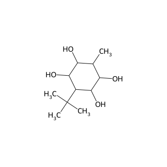 CC1C(O)C(O)C(C(C)(C)C)C(O)C1O